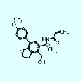 C=CC(=O)N[C@@H](C)c1cc(-c2ccc(OC(F)(F)F)cc2)c2c(c1CO)CCO2